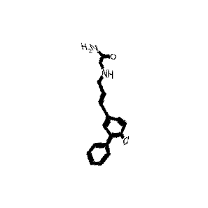 NC(=O)CNCCCc1ccc(Cl)c(-c2ccccc2)c1